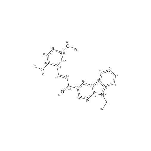 CCn1c2ccccc2c2cc(C(=O)C=Cc3cc(OC)ccc3OC)ccc21